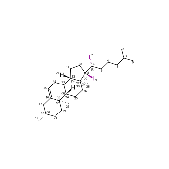 CC(C)CCC[C@@H](I)[C@@]1(I)CC[C@H]2C3CC=C4C[C@@H](C)CC[C@]4(C)[C@H]3CC[C@@]21C